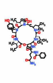 CCC(C)[C@@H]1NC(=O)C(Cc2ccc(O)cc2)N(C)C(=O)[C@H](C(C)CC)N(C=O)[C@@H](O)CC(CC(C)C)NC(=O)[C@H](CC(C)C)NC(=O)[C@@H](NC(=O)[C@H](CCC(N)=O)NC(=O)c2ccccc2)[C@@H](C)OC1=O